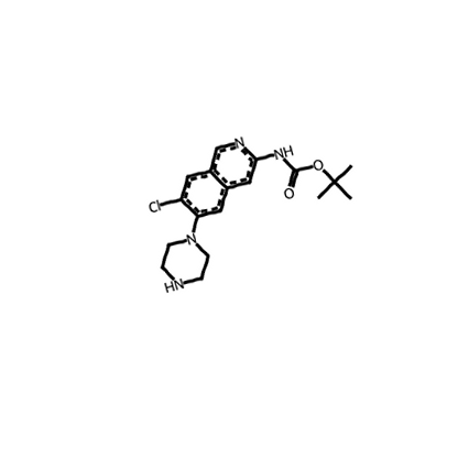 CC(C)(C)OC(=O)Nc1cc2cc(N3CCNCC3)c(Cl)cc2cn1